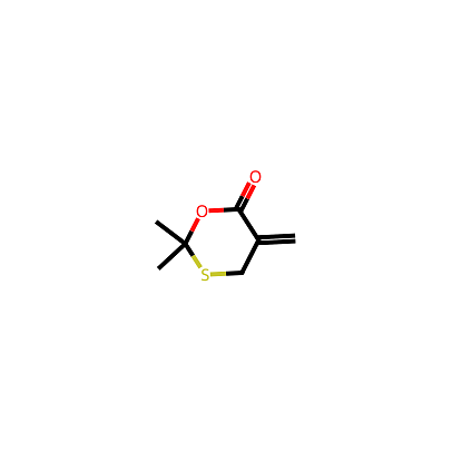 C=C1CSC(C)(C)OC1=O